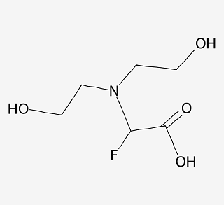 O=C(O)C(F)N(CCO)CCO